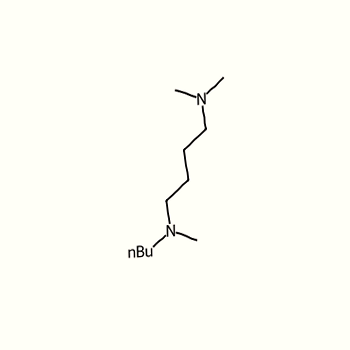 CCCCN(C)CCCCN(C)C